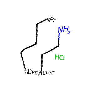 CCCCCCCCCCCCCC(C)C.CCCCCCCCCCCCN.Cl